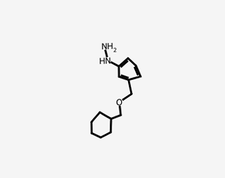 NNc1cccc(COCC2CCCCC2)c1